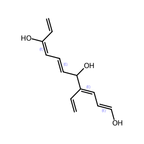 C=C/C(O)=C\C=C\C(O)/C(C=C)=C/C=C/O